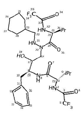 CC(C)[C@H](NC(=O)C(F)(F)F)C(=O)N[C@@H](Cc1ccccc1)C(O)CN(NCC1CCCCC1)C(=O)[C@@H](NC(=O)C(F)(F)F)C(C)C